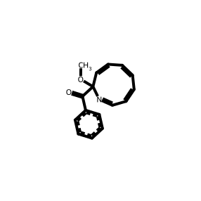 COC1(C(=O)c2ccccc2)C=CC=CC=CC=N1